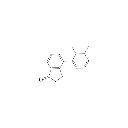 Cc1cccc(-c2cccc3c2CCC3=O)c1C